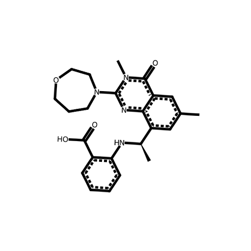 Cc1cc([C@@H](C)Nc2ccccc2C(=O)O)c2nc(N3CCCOCC3)n(C)c(=O)c2c1